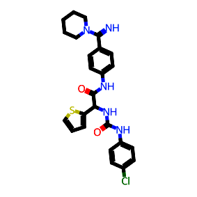 N=C(c1ccc(NC(=O)C(NC(=O)Nc2ccc(Cl)cc2)c2cccs2)cc1)N1CCCCC1